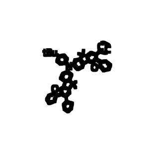 CC(C)(C)c1ccc(N(c2ccc3c(c2)C(C)(C)c2cc(-c4ccccc4)c4c(oc5ccccc54)c2-3)c2ccc3c(c2)C(C)(C)c2cc(-c4ccccc4)c4c(oc5ccccc54)c2-3)cc1